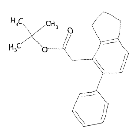 CC(C)(C)OC(=O)Cc1c(-c2ccccc2)ccc2c1CCC2